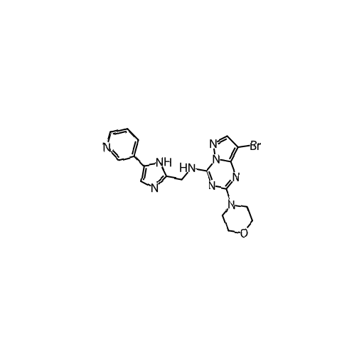 Brc1cnn2c(NCc3ncc(-c4cccnc4)[nH]3)nc(N3CCOCC3)nc12